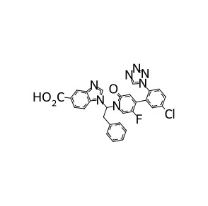 O=C(O)c1ccc2c(c1)ncn2C(Cc1ccccc1)n1cc(F)c(-c2cc(Cl)ccc2-n2cnnn2)cc1=O